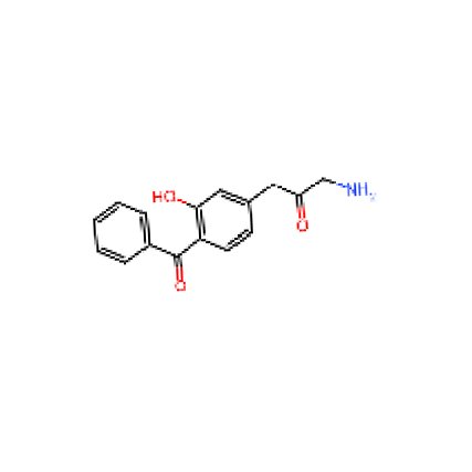 NCC(=O)Cc1ccc(C(=O)c2ccccc2)c(O)c1